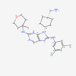 CC1(Nc2ncc3nc(Nc4cc(Cl)cc(Cl)c4)n([C@H]4CC[C@@H](CN)CC4)c3n2)CCOCC1